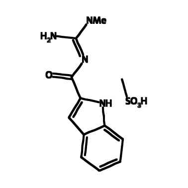 CNC(N)=NC(=O)c1cc2ccccc2[nH]1.CS(=O)(=O)O